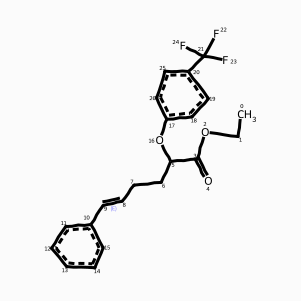 CCOC(=O)C(CC/C=C/c1ccccc1)Oc1ccc(C(F)(F)F)cc1